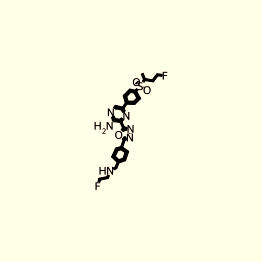 CC(CCF)S(=O)(=O)c1ccc(-c2cnc(N)c(-c3nnc(-c4ccc(CNCCF)cc4)o3)n2)cc1